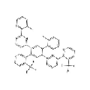 Cc1ccccc1-c1cc(-c2cccc(-c3ncccc3C)n2)c(-c2ccccc2C(F)(F)F)cc1-c1cccc(-c2ncccc2C(F)(F)F)n1